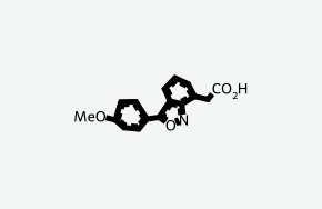 COc1ccc(-c2onc3c(CC(=O)O)cccc23)cc1